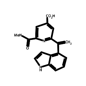 C=C(c1cc(C(=O)O)cc(C(=O)NC)n1)c1cccc2[nH]ccc12